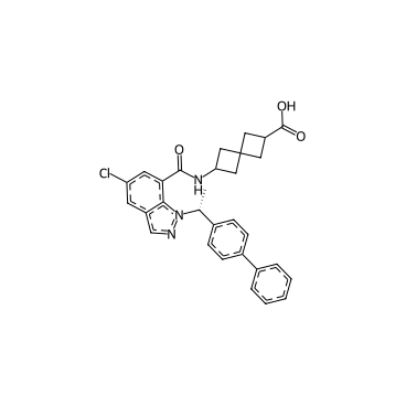 C[C@H](c1ccc(-c2ccccc2)cc1)n1ncc2cc(Cl)cc(C(=O)NC3CC4(C3)CC(C(=O)O)C4)c21